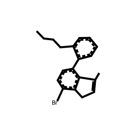 CCCCc1ccccc1-c1ccc(Br)c2c1C(C)=CC2